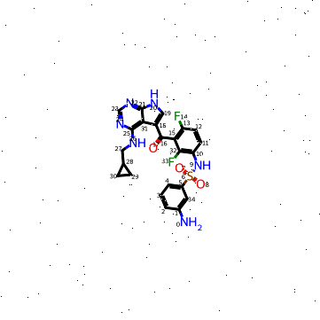 Nc1cccc(S(=O)(=O)Nc2ccc(F)c(C(=O)c3c[nH]c4ncnc(NCC5CC5)c34)c2F)c1